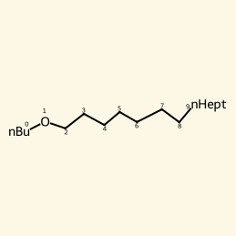 [CH2]CCCOCCCCCCCCCCCCCC